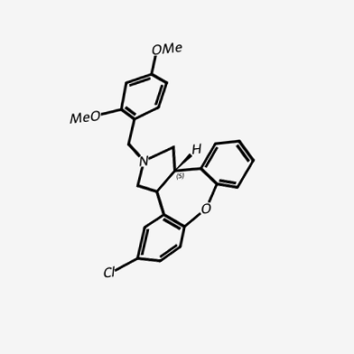 COc1ccc(CN2CC3c4cc(Cl)ccc4Oc4ccccc4[C@H]3C2)c(OC)c1